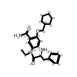 CCN(C(=O)[C@@H](N)Cc1cc[c]cc1)c1ccc(OCC2CCCCC2)c(C(N)=O)c1